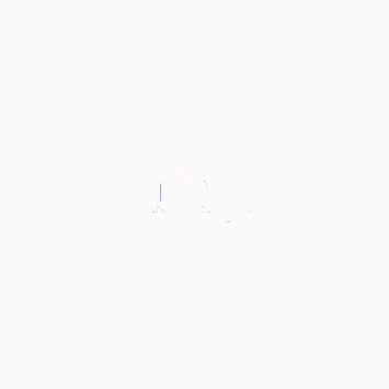 CCN([C]=O)CN(C)C